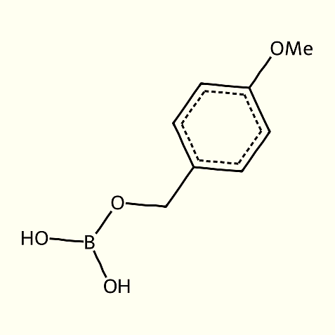 COc1ccc(COB(O)O)cc1